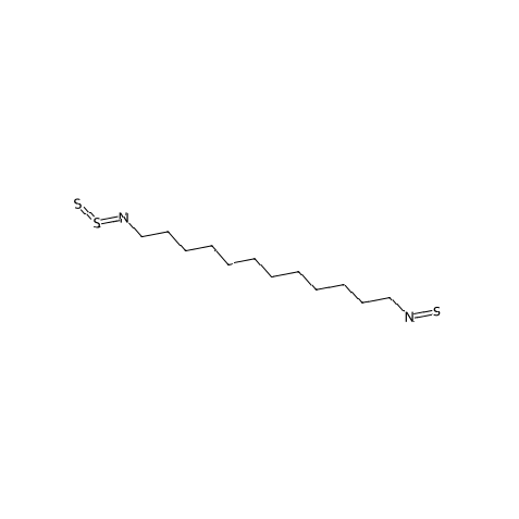 S=NCCCCCCCCCCCCN=S=S